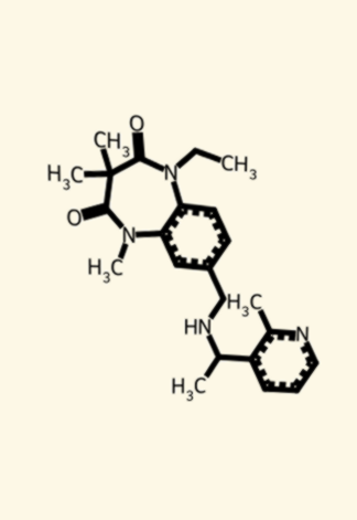 CCN1C(=O)C(C)(C)C(=O)N(C)c2cc(CNC(C)c3cccnc3C)ccc21